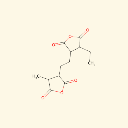 CCC1C(=O)OC(=O)C1CCC1C(=O)OC(=O)C1C